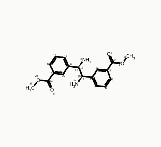 COC(=O)c1cccc([C@@H](N)[C@H](N)c2cccc(C(=O)OC)c2)c1